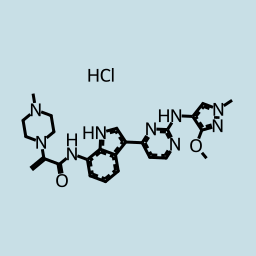 C=C(C(=O)Nc1cccc2c(-c3ccnc(Nc4cn(C)nc4OC)n3)c[nH]c12)N1CCN(C)CC1.Cl